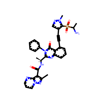 Cc1nn2cccnc2c1C(=O)N[C@@H](C)c1nc2cccc(C#Cc3cnn(C)c3S(=O)(=O)C(C)N)c2c(=O)n1-c1ccccc1